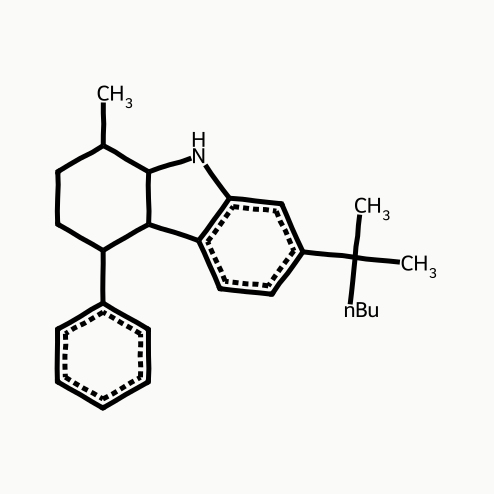 CCCCC(C)(C)c1ccc2c(c1)NC1C(C)CCC(c3ccccc3)C21